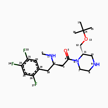 CN[C@@H](CC(=O)N1CCNC[C@H]1COC(C)(C)C)Cc1cc(F)c(F)cc1F